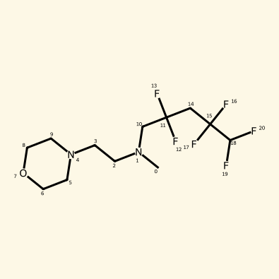 CN(CCN1CCOCC1)CC(F)(F)CC(F)(F)C(F)F